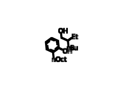 CCCCC(CC)CO.CCCCCCCCc1ccccc1O